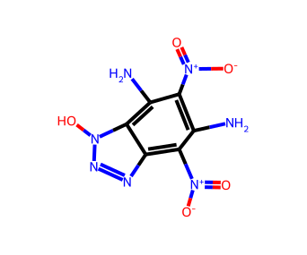 Nc1c([N+](=O)[O-])c(N)c2c(nnn2O)c1[N+](=O)[O-]